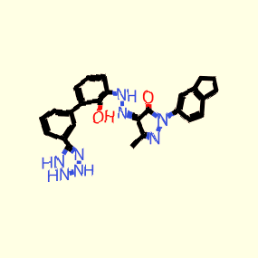 CC1=NN(c2ccc3c(c2)CCC3)C(=O)/C1=N\Nc1cccc(-c2cccc(C3=NNNN3)c2)c1O